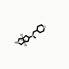 CN(CC1CCOCC1)C1C[C@H]2CNC[C@H]2C1